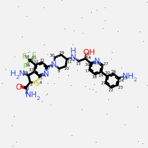 NC(=O)C1Sc2nc(N3CCC(NCC(O)c4ccc(-c5cccc(N)c5)cn4)CC3)cc(C(F)(F)F)c2C1N